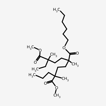 CCCCCCOC(=O)C(C)(CCC(C)(CC)C(=O)OC)CCC(C)(CCC)C(=O)OC